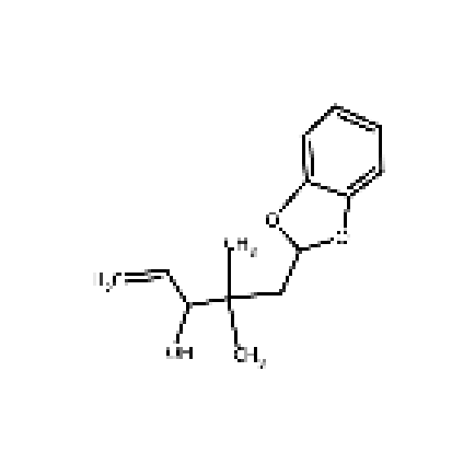 C=CC(O)C(C)(C)CC1Oc2ccccc2O1